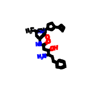 CC(C)CC(NC(=O)CC(O)C(N)CCc1ccccc1)C(=O)NC1CCC(C2CCC2)C1